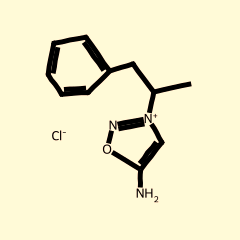 CC(Cc1ccccc1)[n+]1cc(N)on1.[Cl-]